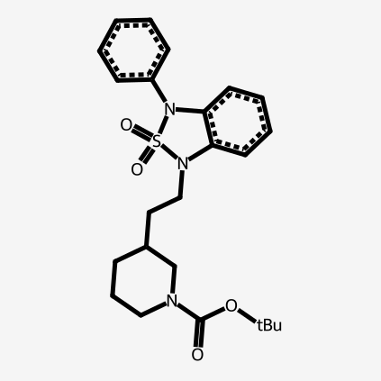 CC(C)(C)OC(=O)N1CCCC(CCN2c3ccccc3N(c3ccccc3)S2(=O)=O)C1